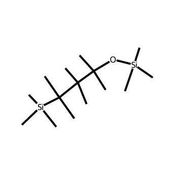 CC(C)(O[Si](C)(C)C)C(C)(C)C(C)(C)[Si](C)(C)C